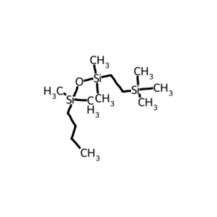 CCCC[Si](C)(C)O[Si](C)(C)CC[Si](C)(C)C